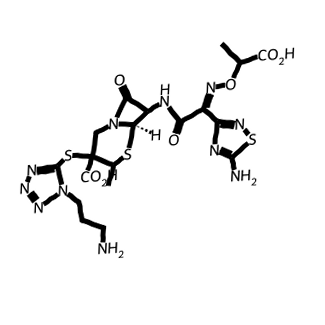 CC(ON=C(C(=O)NC1C(=O)N2CC(Sc3nnnn3CCCN)(C(=O)O)C(C)S[C@H]12)c1nsc(N)n1)C(=O)O